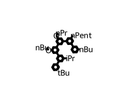 CCCCCc1cc(-c2cccc(CCCC)c2)cc(-c2cc(OCCC)cc(-c3cc(OCCCC)cc(-c4cc(-c5cccc(C(C)(C)C)c5)cc(C(C)C)c4)c3)c2)c1